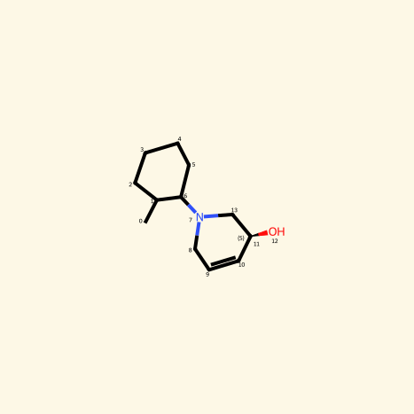 CC1CCCCC1N1CC=C[C@H](O)C1